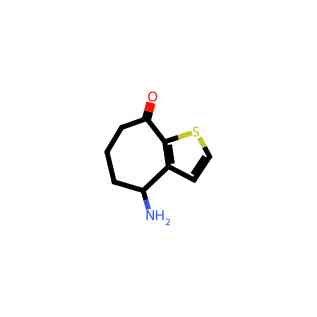 NC1CCCC(=O)c2sccc21